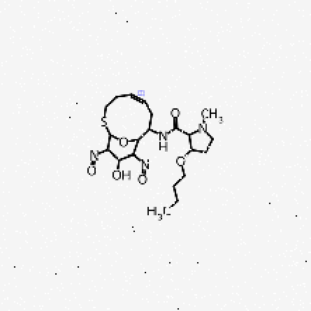 CCCCOC1CCN(C)C1C(=O)NC1C/C=C\CCSC2OC1C(N=O)C(O)C2N=O